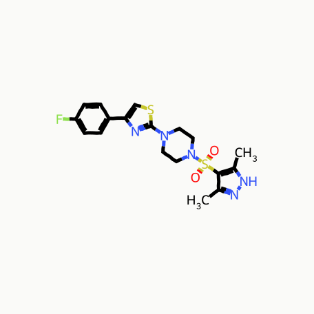 Cc1n[nH]c(C)c1S(=O)(=O)N1CCN(c2nc(-c3ccc(F)cc3)cs2)CC1